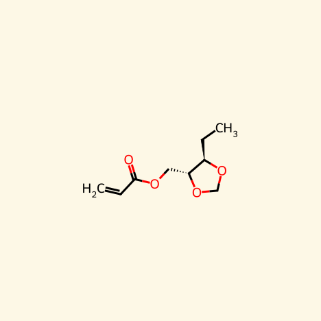 C=CC(=O)OC[C@H]1OCO[C@@H]1CC